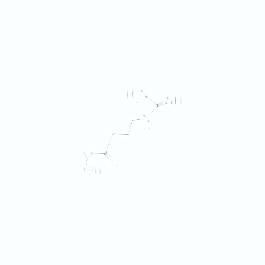 CC(C)(C)OC(=O)[CH]CCNC(=N)N